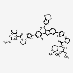 COC(=O)N[C@H](C(=O)N1CCC[C@H]1c1ncc(-c2cc(F)c3c(c2)OC(c2cc4c(s2)CCCO4)n2c-3cc3cc(-c4cnc([C@@H]5CCCN5C(=O)[C@@H](NC(=O)OC)C5CCOC(C)(C)C5)[nH]4)ccc32)[nH]1)C(C)C